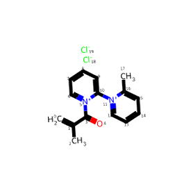 C=C(C)C(=O)[n+]1ccccc1-[n+]1ccccc1C.[Cl-].[Cl-]